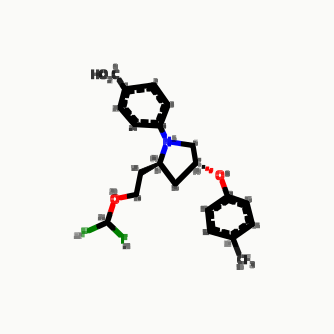 O=C(O)c1ccc(N2C[C@H](Oc3ccc(C(F)(F)F)cc3)C[C@H]2CCOC(F)F)cc1